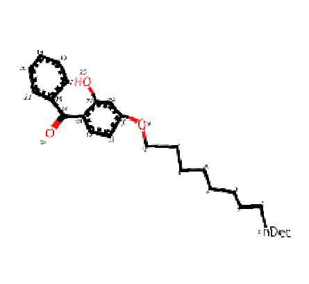 CCCCCCCCCCCCCCCCCCOc1ccc(C(=O)c2ccccc2)c(O)c1